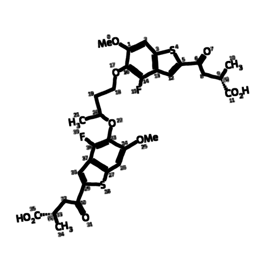 COc1cc2sc(C(=O)C[C@H](C)C(=O)O)cc2c(F)c1OCCC(C)Oc1c(OC)cc2sc(C(=O)C[C@H](C)C(=O)O)cc2c1F